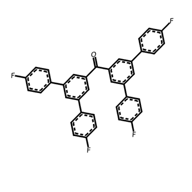 O=C(c1cc(-c2ccc(F)cc2)cc(-c2ccc(F)cc2)c1)c1cc(-c2ccc(F)cc2)cc(-c2ccc(F)cc2)c1